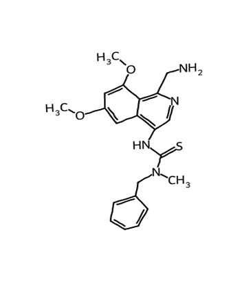 COc1cc(OC)c2c(CN)ncc(NC(=S)N(C)Cc3ccccc3)c2c1